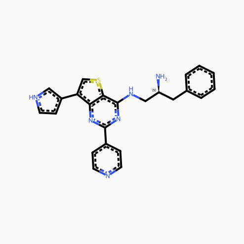 N[C@H](CNc1nc(-c2ccncc2)nc2c(-c3cc[nH]c3)csc12)Cc1ccccc1